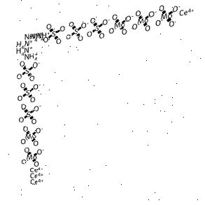 O=S(=O)([O-])[O-].O=S(=O)([O-])[O-].O=S(=O)([O-])[O-].O=S(=O)([O-])[O-].O=S(=O)([O-])[O-].O=S(=O)([O-])[O-].[Ce+4].[Ce+4].[Ce+4].[Ce+4].[NH4+].[NH4+].[NH4+].[NH4+].[NH4+].[NH4+].[O]=[Mo](=[O])([O-])[O-].[O]=[Mo](=[O])([O-])[O-].[O]=[Mo](=[O])([O-])[O-].[O]=[Mo](=[O])([O-])[O-].[O]=[Mo](=[O])([O-])[O-]